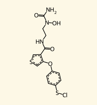 NC(=O)N(O)CCNC(=O)c1cscc1Oc1ccc(SCl)cc1